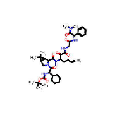 C=CCCC(NC(=O)C1C2C(CN1C(=O)C(NC(=O)OC(C)(C)C)C1CCCCC1)C2(C)C)C(=O)C(=O)NCC(=O)N[C@H](C(=O)N(C)C)c1ccccc1